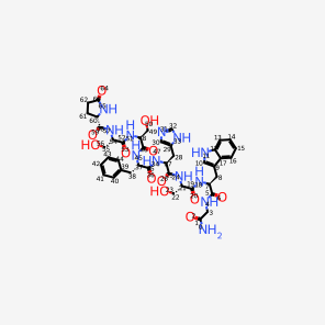 NC(=O)CNC(=O)[C@H](Cc1c[nH]c2ccccc12)NC(=O)[C@H](CO)NC(=O)[C@H](Cc1cnc[nH]1)NC(=O)[C@H](Cc1ccccc1)NC(=O)[C@H](CO)NC(=O)[C@H](CO)NC(=O)[C@@H]1CCC(=O)N1